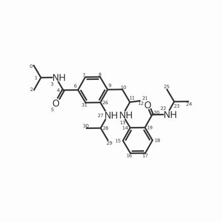 CC(C)NC(=O)c1ccc(CC(C)Nc2ccccc2C(=O)NC(C)C)c(NC(C)C)c1